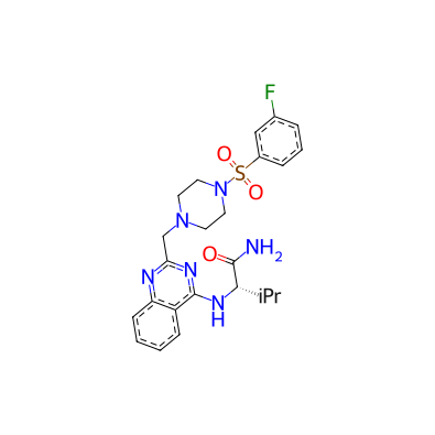 CC(C)[C@H](Nc1nc(CN2CCN(S(=O)(=O)c3cccc(F)c3)CC2)nc2ccccc12)C(N)=O